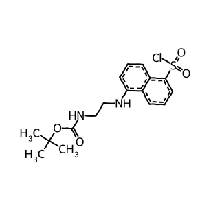 CC(C)(C)OC(=O)NCCNc1cccc2c(S(=O)(=O)Cl)cccc12